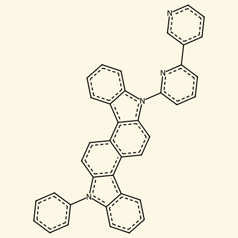 c1ccc(-n2c3ccccc3c3c4ccc5c(c4ccc32)c2ccccc2n5-c2cccc(-c3cccnc3)n2)cc1